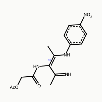 CC(=N)/C(NC(=O)COC(C)=O)=C(/C)Nc1ccc([N+](=O)[O-])cc1